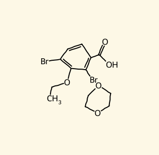 C1COCCO1.CCOc1c(Br)ccc(C(=O)O)c1Br